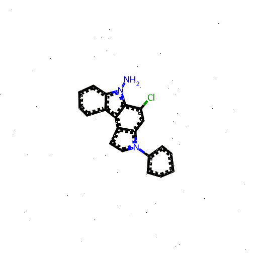 Nn1c2ccccc2c2c3ccn(-c4ccccc4)c3cc(Cl)c21